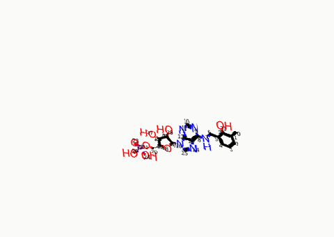 Cc1cccc(CNc2ncnc3c2ncn3[C@@H]2O[C@H](COP(=O)(O)O)[C@@H](O)[C@H]2O)c1O